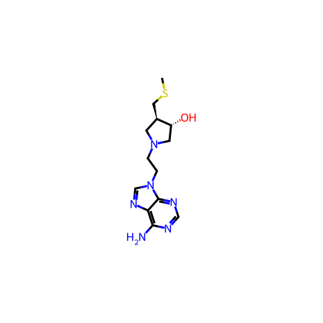 CSC[C@@H]1CN(CCn2cnc3c(N)ncnc32)C[C@H]1O